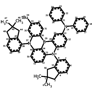 CC1(C)Cc2cccc(N3c4ccc(N(c5ccccc5)c5ccccc5)cc4B4c5ccc(C(C)(C)C)cc5N(c5cccc6c5CC(C)(C)C6)c5cccc3c54)c2C1